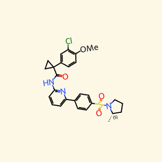 COc1ccc(C2(C(=O)Nc3cccc(-c4ccc(S(=O)(=O)N5CCC[C@@H]5C)cc4)n3)CC2)cc1Cl